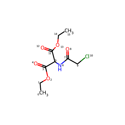 CCOC(=O)C(NC(=O)CCl)C(=O)OCC